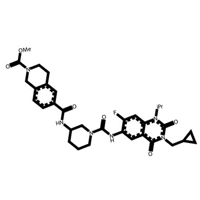 COC(=O)N1CCc2cc(C(=O)NC3CCCN(C(=O)Nc4cc5c(=O)n(CC6CC6)c(=O)n(C(C)C)c5cc4F)C3)ccc2C1